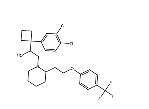 OC(CN1CCCCC1CCOc1ccc(C(F)(F)F)cc1)C1(c2ccc(Cl)c(Cl)c2)CCC1